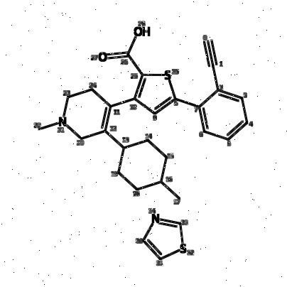 C#Cc1ccccc1-c1cc(C2=C(C3CCC(C)CC3)CN(C)CC2)c(C(=O)O)s1.c1cscn1